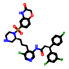 O=C1COc2ccc(S(=O)(=O)N3CCNC[C@@H]3CCCc3c(F)cncc3NC(=O)C[C@@H](c3ccc(F)cc3)c3cc(F)cc(F)c3)cc2N1